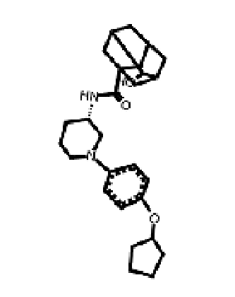 O=C(N[C@H]1CCCN(c2ccc(OC3CCCC3)cc2)C1)C12CC3CC(C1)C(O)C(C3)C2